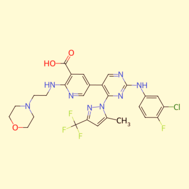 Cc1cc(C(F)(F)F)nn1-c1nc(Nc2ccc(F)c(Cl)c2)ncc1-c1cnc(NCCN2CCOCC2)c(C(=O)O)c1